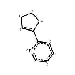 [c]1cccnc1C1=CCCC1